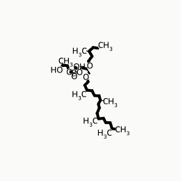 CCC[C@@H](C)CCO[C@@H](COCC[C@H](C)CCC[C@H](C)CCC[C@H](C)CCCC(C)C)COP(=O)(O)OC[C@@H](C)O